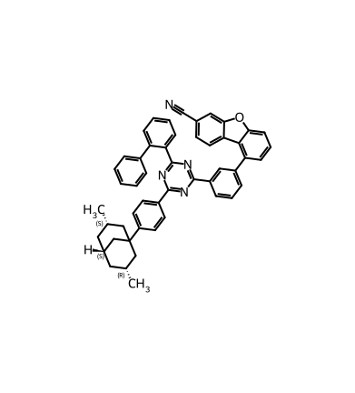 C[C@@H]1C[C@@H]2C[C@H](C)CC(c3ccc(-c4nc(-c5cccc(-c6cccc7oc8cc(C#N)ccc8c67)c5)nc(-c5ccccc5-c5ccccc5)n4)cc3)(C1)C2